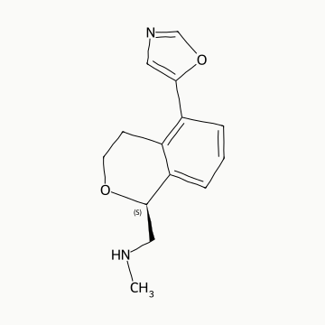 CNC[C@H]1OCCc2c(-c3cnco3)cccc21